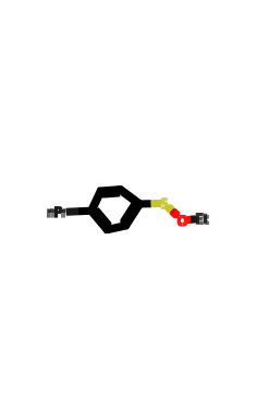 CCCc1ccc(SOCC)cc1